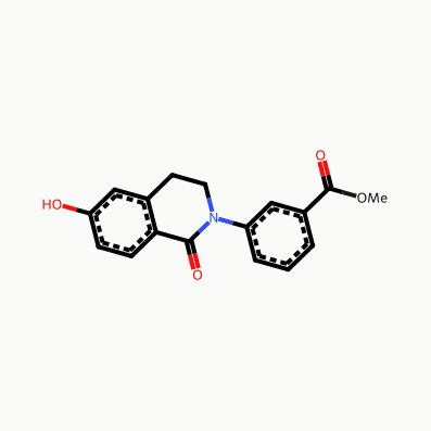 COC(=O)c1cccc(N2CCc3cc(O)ccc3C2=O)c1